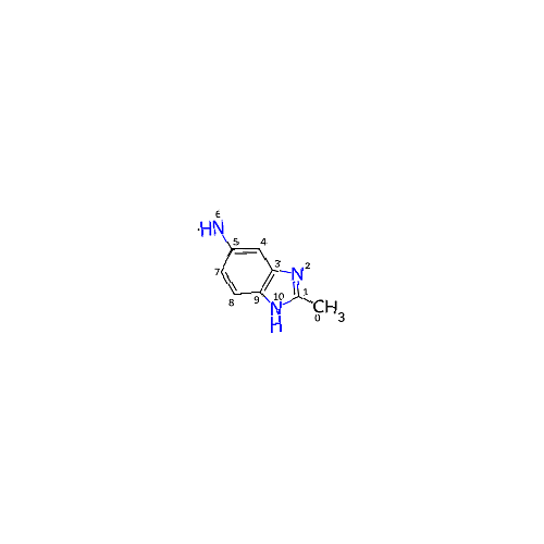 Cc1nc2cc([NH])ccc2[nH]1